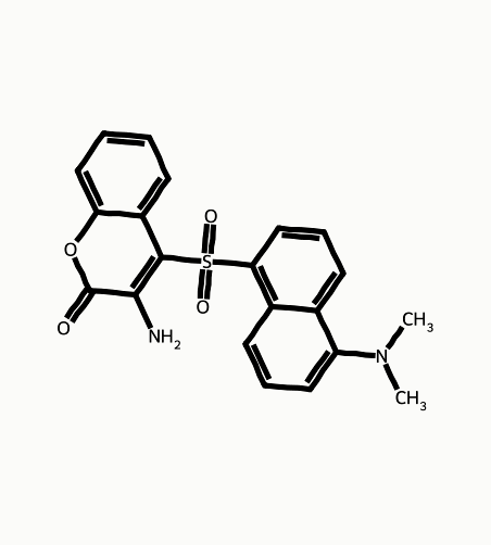 CN(C)c1cccc2c(S(=O)(=O)c3c(N)c(=O)oc4ccccc34)cccc12